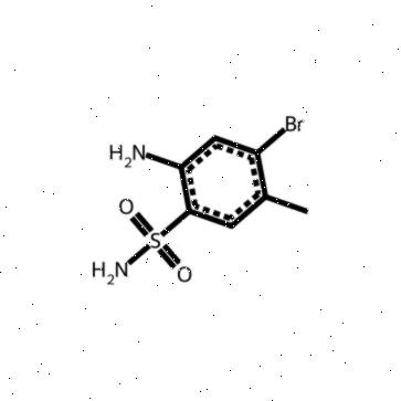 Cc1cc(S(N)(=O)=O)c(N)cc1Br